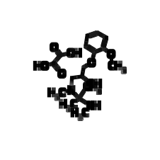 CNC(C)(C)N(C)CC(O)COc1ccccc1OC.O=C(O)C(=O)O